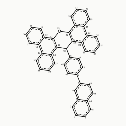 c1ccc2cc(-c3ccc(C4c5c(c6ccccc6c6ccccc56)Oc5c4c4ccccc4c4ccccc54)cc3)ccc2c1